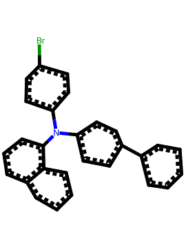 Brc1ccc(N(c2ccc(-c3ccccc3)cc2)c2cccc3ccccc23)cc1